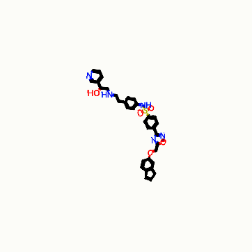 O=S(=O)(Nc1ccc(CCNCC(O)c2cccnc2)cc1)c1ccc(-c2noc(COc3ccc4c(c3)CCC4)n2)cc1